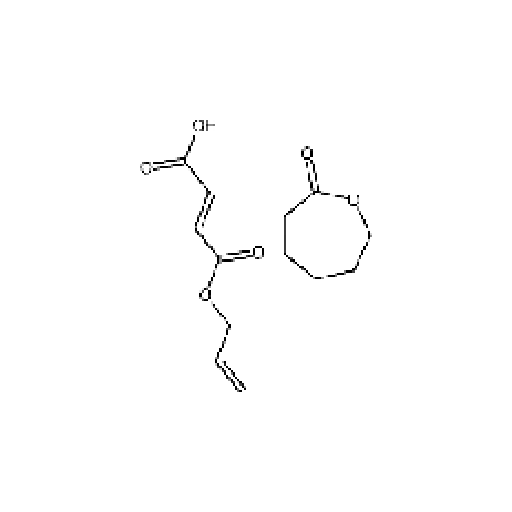 C=CCOC(=O)/C=C/C(=O)O.O=C1CCCCCO1